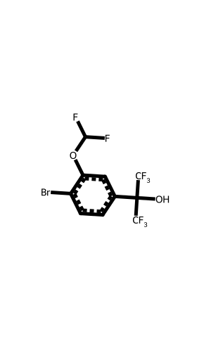 OC(c1ccc(Br)c(OC(F)F)c1)(C(F)(F)F)C(F)(F)F